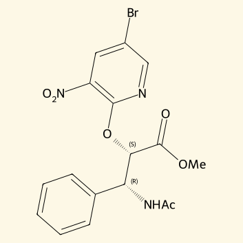 COC(=O)[C@@H](Oc1ncc(Br)cc1[N+](=O)[O-])[C@H](NC(C)=O)c1ccccc1